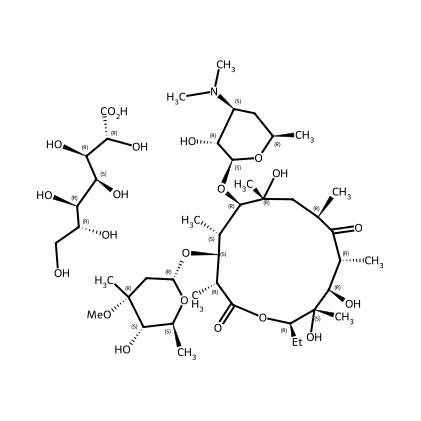 CC[C@H]1OC(=O)[C@H](C)[C@@H](O[C@H]2C[C@@](C)(OC)[C@@H](O)[C@H](C)O2)[C@H](C)[C@@H](O[C@@H]2O[C@H](C)C[C@H](N(C)C)[C@H]2O)[C@](C)(O)C[C@@H](C)C(=O)[C@H](C)[C@@H](O)[C@]1(C)O.O=C(O)[C@H](O)[C@H](O)[C@@H](O)[C@H](O)[C@H](O)CO